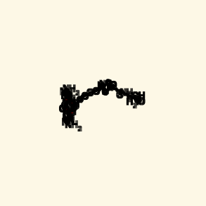 Nc1ncnc2c1ncn2[C@@H]1O[C@@H]2CO[P@](=O)(SCc3ccc(COCCOCCOCCn4nnc5c4-c4ccccc4CN(C(=O)CCCCC(=O)NCCCOCC(O)CO[PH2]=O)c4ccccc4-5)cc3)O[C@H]3[C@@H](F)[C@H](n4cnc5c(N)ncnc54)O[C@@H]3CO[PH](=O)O[C@H]2[C@H]1F